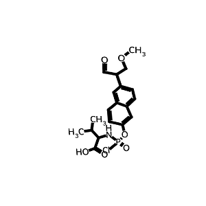 COCC(C=O)c1ccc2cc(OP(=O)(Cl)NC(C(=O)O)C(C)C)ccc2c1